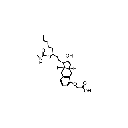 CCCCC[C@@H](CC[C@@H]1[C@H]2Cc3cccc(OCC(=O)O)c3C[C@H]2C[C@H]1O)OC(=O)NC